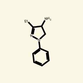 CCC1=NN(c2ccccc2)CC1N